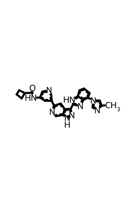 Cc1cn(-c2cccc3[nH]c(-c4n[nH]c5cnc(-c6cncc(NC(=O)C7CCC7)c6)cc45)nc23)cn1